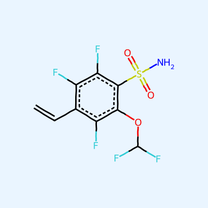 C=Cc1c(F)c(F)c(S(N)(=O)=O)c(OC(F)F)c1F